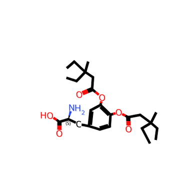 CCC(C)(CC)CC(=O)Oc1ccc(C[C@H](N)C(=O)O)cc1OC(=O)CC(C)(CC)CC